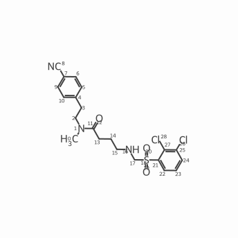 CN(CCc1ccc(C#N)cc1)C(=O)CCCNCS(=O)(=O)c1cccc(Cl)c1Cl